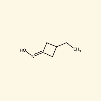 CCC1CC(=NO)C1